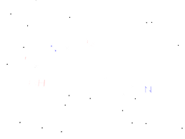 C=CC(C)(C/C(C=O)=C/c1ccc2c(c1)CCN2CC)N(C)CC(=O)O